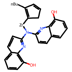 CCCCC1=[C]([Zr][N](c2ccc3cccc(O)c3n2)c2ccc3cccc(O)c3n2)CC=C1